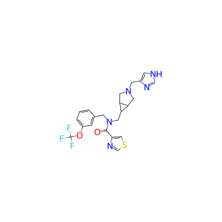 O=C(c1cscn1)N(Cc1cccc(OC(F)(F)F)c1)CC1C2CN(Cc3c[nH]cn3)CC21